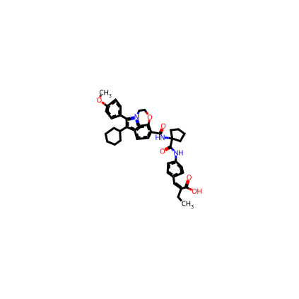 CCC(=Cc1ccc(NC(=O)C2(NC(=O)c3ccc4c(C5CCCCC5)c(-c5ccc(OC)cc5)n5c4c3OCC5)CCCC2)cc1)C(=O)O